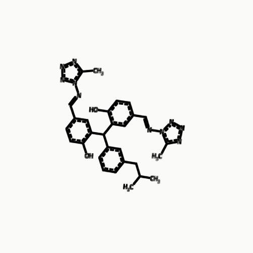 Cc1nnnn1N=Cc1ccc(O)c(C(c2cccc(CC(C)C)c2)c2cc(C=Nn3nnnc3C)ccc2O)c1